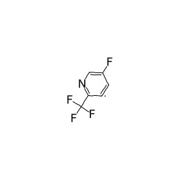 Fc1c[c]c(C(F)(F)F)nc1